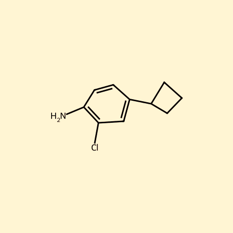 Nc1ccc(C2CCC2)cc1Cl